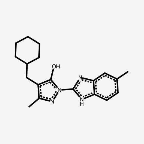 Cc1ccc2[nH]c(-n3nc(C)c(CC4CCCCC4)c3O)nc2c1